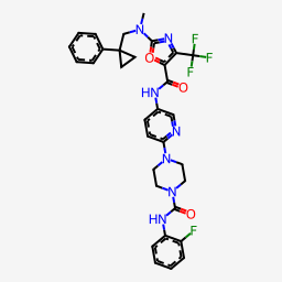 CN(CC1(c2ccccc2)CC1)c1nc(C(F)(F)F)c(C(=O)Nc2ccc(N3CCN(C(=O)Nc4ccccc4F)CC3)nc2)o1